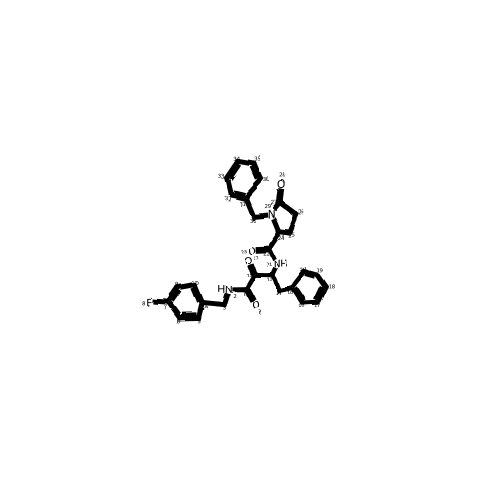 O=C(NCc1ccc(F)cc1)C(=O)C(Cc1ccccc1)NC(=O)C1CCC(=O)N1Cc1ccccc1